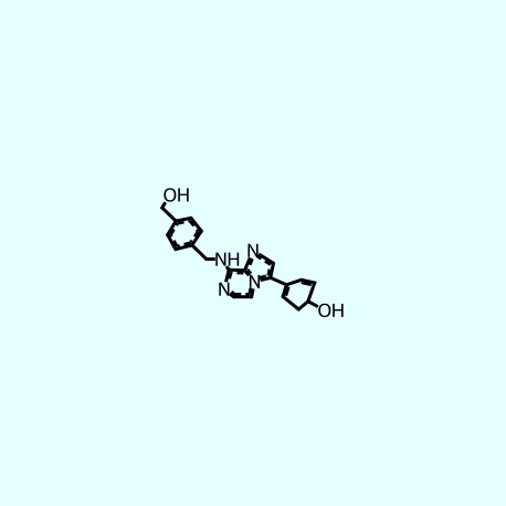 OCc1ccc(CNc2nccn3c(C4=CCC(O)C=C4)cnc23)cc1